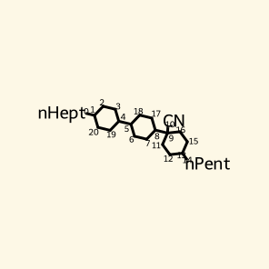 CCCCCCCC1CCC(C2CCC(C3(C#N)CCC(CCCCC)CC3)CC2)CC1